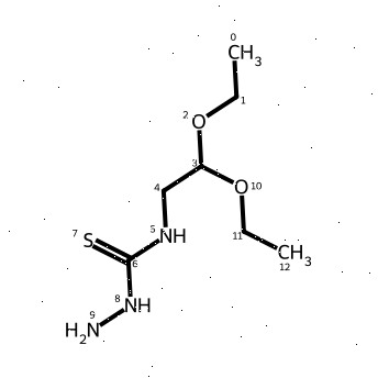 CCOC(CNC(=S)NN)OCC